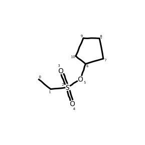 CCS(=O)(=O)OC1C[CH]CC1